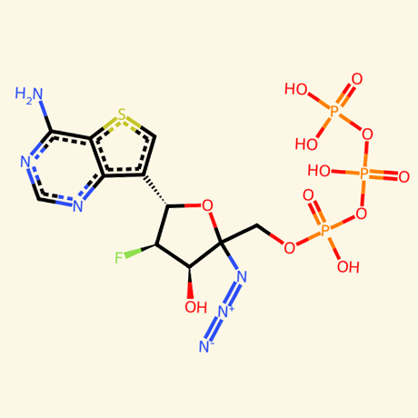 [N-]=[N+]=NC1(COP(=O)(O)OP(=O)(O)OP(=O)(O)O)O[C@@H](c2csc3c(N)ncnc23)[C@H](F)[C@@H]1O